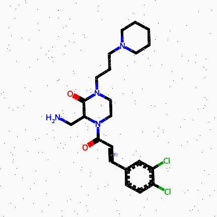 NCC1C(=O)N(CCCN2CCCCC2)CCN1C(=O)/C=C/c1ccc(Cl)c(Cl)c1